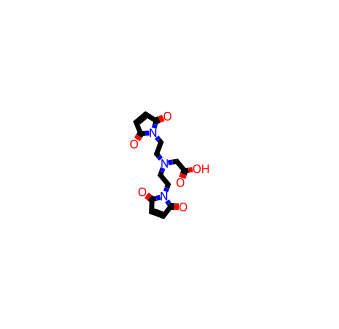 O=C(O)CN(CCN1C(=O)C=CC1=O)CCN1C(=O)C=CC1=O